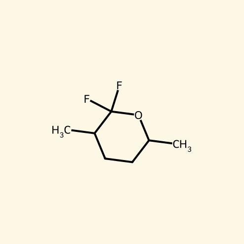 CC1CCC(C)C(F)(F)O1